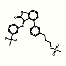 CS(=O)(=O)OCCCc1cccc(-c2cccc3c2C(=Nc2cccc(C(F)(F)F)c2)C(=O)N3)c1